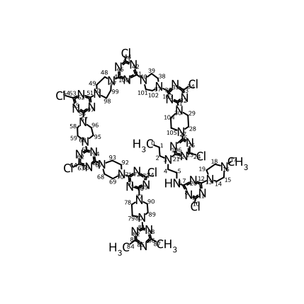 CCCN(CCNc1nc(Cl)nc(N2CCN(C)CC2)n1)c1nc(Cl)nc(N2CCN(c3nc(Cl)nc(N4CCN(c5nc(Cl)nc(N6CCN(c7nc(Cl)nc(N8CCN(c9nc(Cl)nc(N%10CCN(c%11nc(Cl)nc(N%12CCN(c%13nc(C)nc(C)n%13)CC%12)n%11)CC%10)n9)CC8)n7)CC6)n5)CC4)n3)CC2)n1